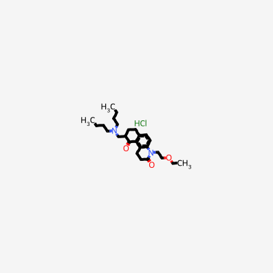 CCCCN(CCCC)CC1CCc2ccc3c(c2C1=O)CCC(=O)N3CCOCC.Cl